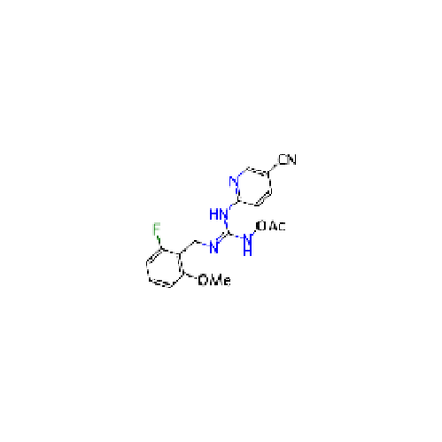 COc1cccc(F)c1CN=C(NOC(C)=O)Nc1ccc(C#N)cn1